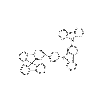 c1ccc2c(c1)-c1ccccc1C21c2ccccc2-c2ccc(-c3ccc(-n4c5ccccc5c5ccc(-n6c7ccccc7c7ccccc76)cc54)cc3)cc21